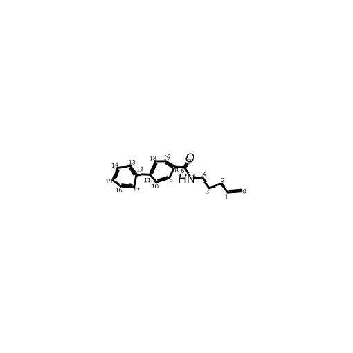 C=CCCCNC(=O)c1ccc(-c2ccccc2)cc1